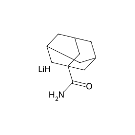 NC(=O)C12CC3CC(CC(C3)C1)C2.[LiH]